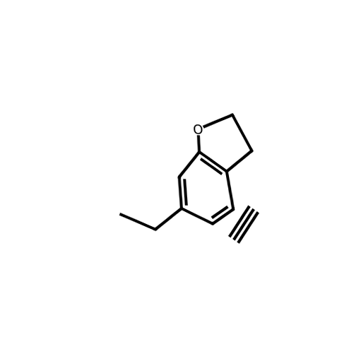 C#C.CCc1ccc2c(c1)OCC2